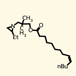 CCCC/C=C\CCCCCCCC(=O)OCC(C)(C)CN1CC1CC